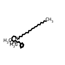 CCCCCCCCCCCCCCCCCCCCN1CCCC(C)(C)CC1C(C)=Cc1ccccc1